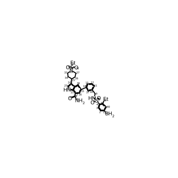 Bc1ccc(S(=O)(=O)NCc2cccc(-c3cc(C(N)=O)c4[nH]cc(C5CCN(S(=O)(=O)CC)CC5)c4c3)c2)c(CC)c1